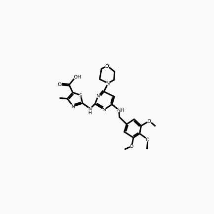 COc1cc(CNc2cc(N3CCOCC3)nc(Nc3nc(C)c(C(=O)O)s3)n2)cc(OC)c1OC